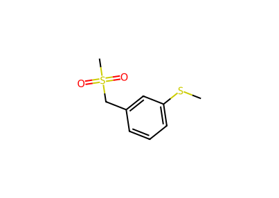 CSc1cccc(CS(C)(=O)=O)c1